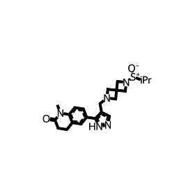 CC(C)[S+]([O-])N1CC2(CN(Cc3cn[nH]c3-c3ccc4c(c3)CCC(=O)N4C)C2)C1